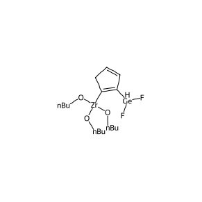 CCCC[O][Zr]([O]CCCC)([O]CCCC)[C]1=[C]([GeH]([F])[F])C=CC1